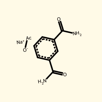 CC(=O)[O-].NC(=O)c1cccc(C(N)=O)c1.[Na+]